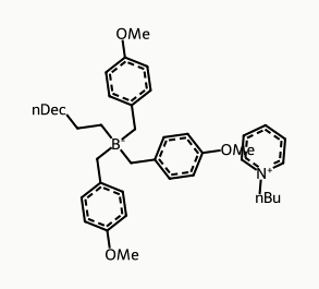 CCCCCCCCCCCC[B-](Cc1ccc(OC)cc1)(Cc1ccc(OC)cc1)Cc1ccc(OC)cc1.CCCC[n+]1ccccc1